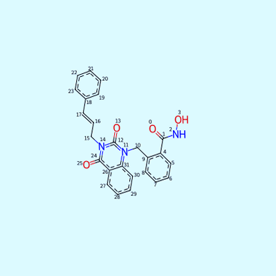 O=C(NO)c1ccccc1Cn1c(=O)n(CC=Cc2ccccc2)c(=O)c2ccccc21